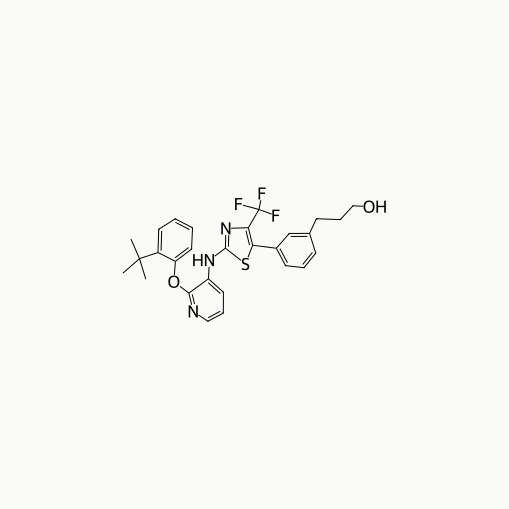 CC(C)(C)c1ccccc1Oc1ncccc1Nc1nc(C(F)(F)F)c(-c2cccc(CCCO)c2)s1